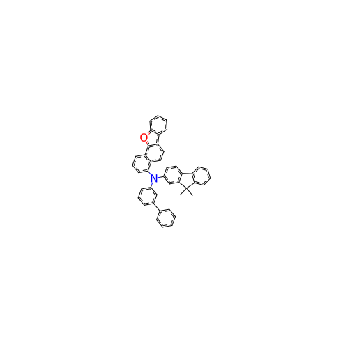 CC1(C)c2ccccc2-c2ccc(N(c3cccc(-c4ccccc4)c3)c3cccc4c3ccc3c5ccccc5oc43)cc21